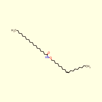 CCCCCCCC/C=C\CCCCCCCCONC(=O)CCCCCCCCCCCCCCCCC